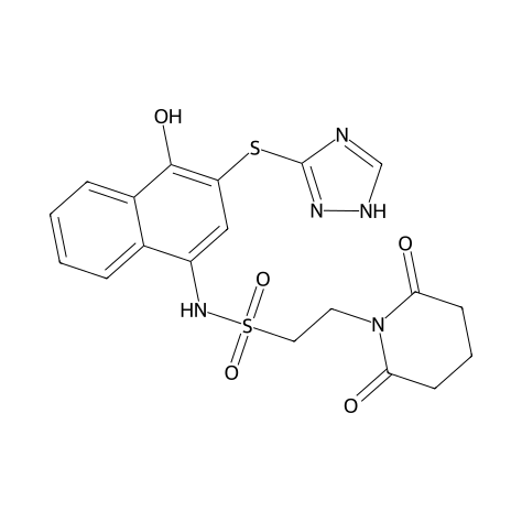 O=C1CCCC(=O)N1CCS(=O)(=O)Nc1cc(Sc2nc[nH]n2)c(O)c2ccccc12